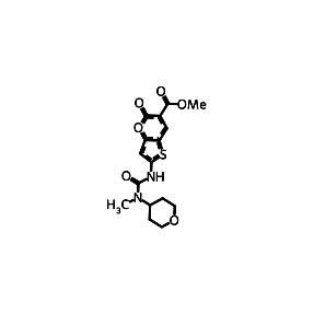 COC(=O)c1cc2sc(NC(=O)N(C)C3CCOCC3)cc2oc1=O